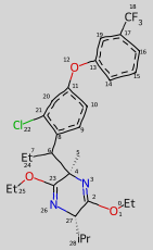 CCOC1=N[C@](C)(C(CC)c2ccc(Oc3cccc(C(F)(F)F)c3)cc2Cl)C(OCC)=N[C@H]1C(C)C